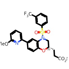 COc1cccc(-c2ccc3c(c2)N(S(=O)(=O)c2cccc(C(F)(F)F)c2)C[C@H](CCC(=O)O)O3)n1